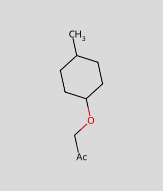 CC(=O)COC1CCC(C)CC1